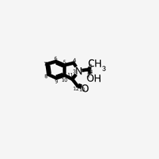 CC(O)N1Cc2ccccc2C1C=O